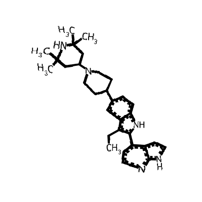 CCc1c(-c2ccnc3[nH]ccc23)[nH]c2ccc(C3CCN(C4CC(C)(C)NC(C)(C)C4)CC3)cc12